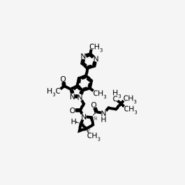 CC(=O)c1nn(CC(=O)N2[C@H](C(=O)NCCC(C)(C)C)C[C@@]3(C)C[C@@H]23)c2c(C)cc(-c3cnc(C)nc3)cc12